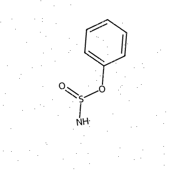 [NH]S(=O)Oc1ccccc1